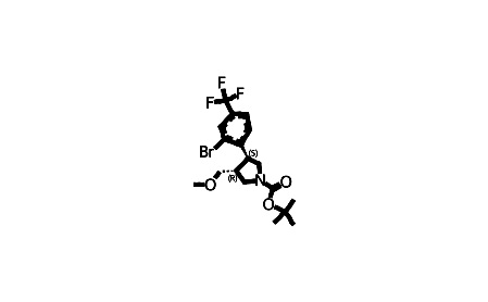 COC[C@H]1CN(C(=O)OC(C)(C)C)C[C@@H]1c1ccc(C(F)(F)F)cc1Br